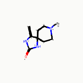 C=C1NC(=O)NC12CCN(C(C)C)CC2